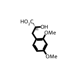 COc1ccc(C[C@@H](O)C(=O)O)c(OC)c1